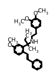 CCC(C)(NCCc1ccc(OC)c(OC)c1)c1cc(OC)ccc1C=Cc1ccccc1